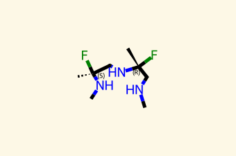 CNC[C@@](C)(F)NC[C@](C)(F)NC